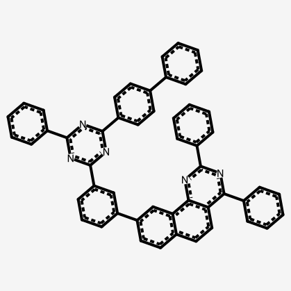 c1ccc(-c2ccc(-c3nc(-c4ccccc4)nc(-c4cccc(-c5ccc6ccc7c(-c8ccccc8)nc(-c8ccccc8)nc7c6c5)c4)n3)cc2)cc1